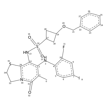 Cc1c(Nc2ccc(I)cc2F)c(NS(=O)(=O)C2CC(OCc3ccccc3)C2)c2n(c1=O)CCS2